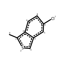 Cc1s[c]c2cc(Cl)ccc12